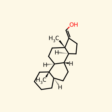 C[C@]12CCCC[C@@H]1CC[C@@H]1[C@@H]2CC[C@]2(C)C(=CO)CC[C@@H]12